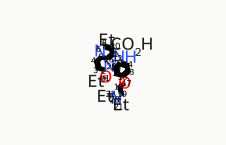 CCOc1ccc2nc(CC)c(C(=O)O)c(Nc3ccc(OCCN(CC)CC)cc3)c2n1